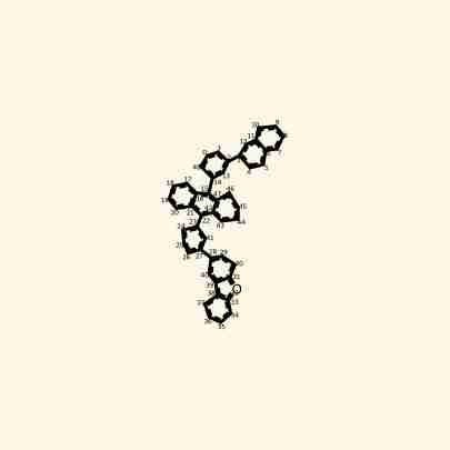 c1cc(-c2ccc3ccccc3c2)cc(-c2c3ccccc3c(-c3cccc(-c4ccc5oc6ccccc6c5c4)c3)c3ccccc23)c1